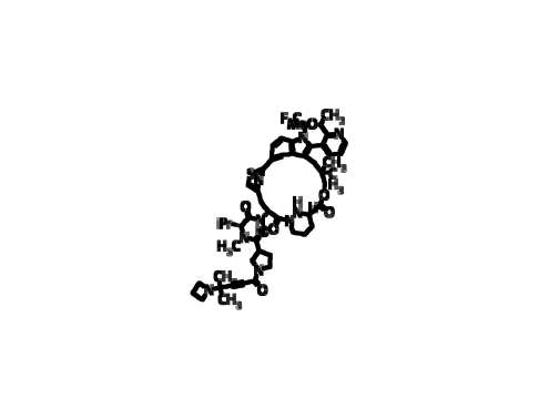 CO[C@@H](C)c1ncccc1-c1c2c3cc(ccc3n1CC(F)(F)F)-c1nc(cs1)C[C@H](NC(=O)[C@H](C(C)C)N(C)C(=O)C1CCN(C(=O)C#CC(C)(C)N3CCC3)C1)C(=O)N1CCC[C@H](N1)C(=O)OCC(C)(C)C2